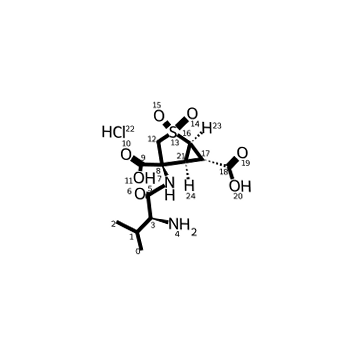 CC(C)[C@H](N)C(=O)N[C@@]1(C(=O)O)CS(=O)(=O)[C@H]2[C@H](C(=O)O)[C@H]21.Cl